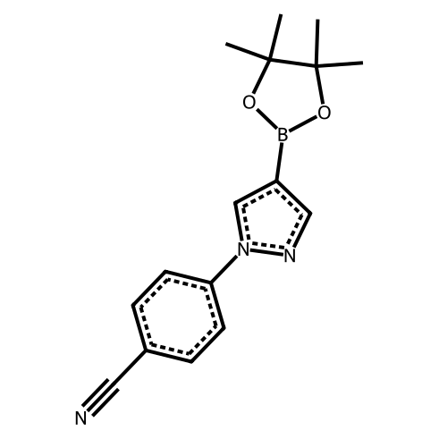 CC1(C)OB(c2cnn(-c3ccc(C#N)cc3)c2)OC1(C)C